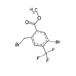 COC(=O)c1cc(Br)c(C(F)(F)F)cc1CBr